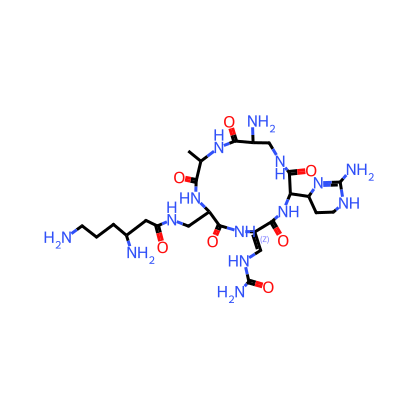 CC1NC(=O)C(N)CNC(=O)C(C2CCNC(N)=N2)NC(=O)/C(=C/NC(N)=O)NC(=O)C(CNC(=O)CC(N)CCCN)NC1=O